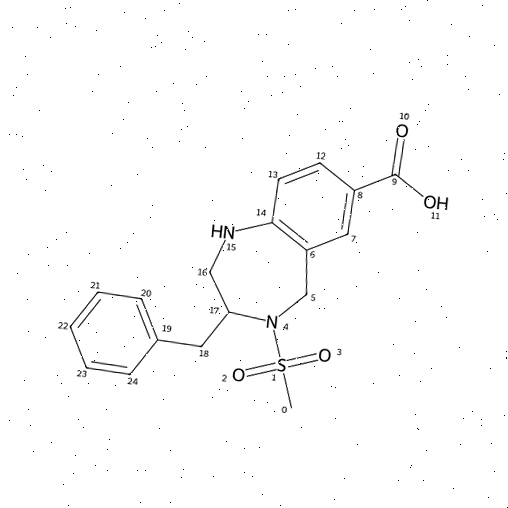 CS(=O)(=O)N1Cc2cc(C(=O)O)ccc2NCC1Cc1ccccc1